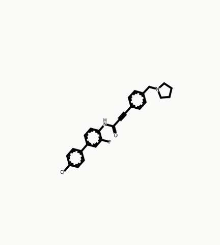 O=C(C#Cc1ccc(CN2CCCC2)cc1)Nc1ccc(-c2ccc(Cl)cc2)cc1F